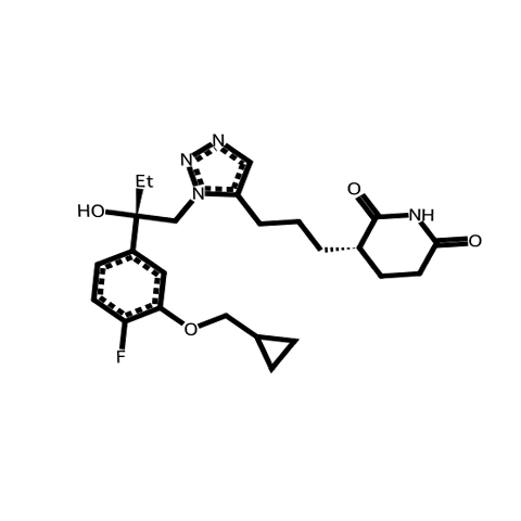 CC[C@@](O)(Cn1nncc1CCC[C@H]1CCC(=O)NC1=O)c1ccc(F)c(OCC2CC2)c1